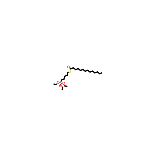 CCCCCCCCCCCCCC(=O)SCCCCC[Si](OCC)(OCC)OCC